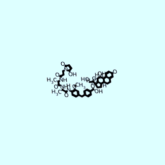 COc1cc(Cc2ccc([C@H](O)O[C@]3(C(=O)CO)CCC4[C@@H]5CCC6=CC(=O)C=C[C@]6(C)C5[C@@H](O)C[C@@]43C)cc2)ccc1NC(=O)[C@H](C)NC(=O)[C@H](C)NC(=O)CCN1C(=O)C=CC1O